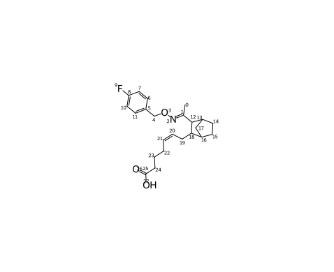 CC(=NOCc1ccc(F)cc1)C1C2CCC(C2)C1C/C=C\CCCC(=O)O